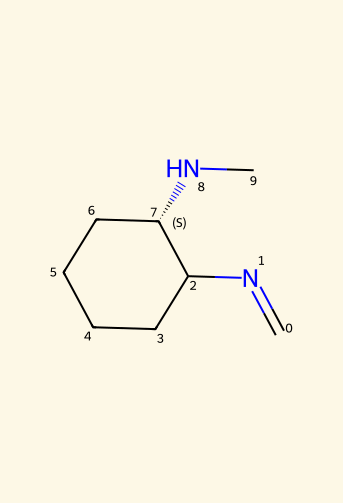 C=NC1CCCC[C@@H]1NC